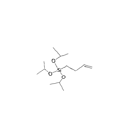 C=CCC[Si](OC(C)C)(OC(C)C)OC(C)C